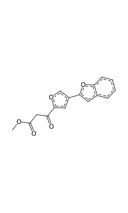 COC(=O)CC(=O)c1cc(-c2cc3ccccc3o2)co1